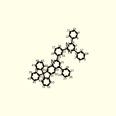 c1ccc(-c2cc(-c3ccccc3)nc(-c3cccc(-c4cc(-c5ccccc5)c5cc6c(cc5n4)C(c4ccccc4)(c4ccccc4)c4ccccc4-6)c3)n2)cc1